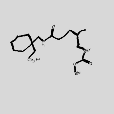 CC(CCC(=O)NCC1(CC(=O)O)CCCCC1)CNC(=O)OC(C)(C)C